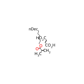 C=C(C)C(=O)OCCCCCCCCCCCCCCCC.O=C(O)/C=C/C(=O)O